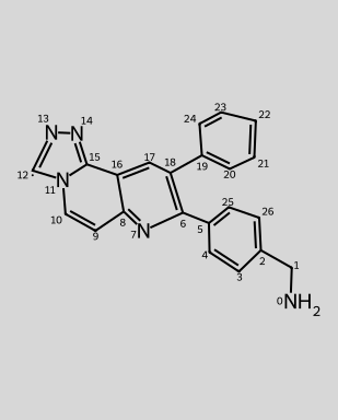 NCc1ccc(-c2nc3ccn4[c]nnc4c3cc2-c2ccccc2)cc1